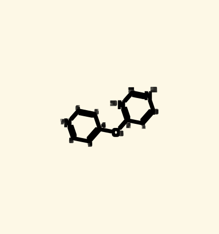 [c]1cc(Oc2ccncc2)ncn1